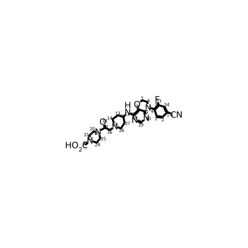 N#Cc1ccc(N2CCOc3c(NC4CCN(CC(=O)N5CCN(C(=O)O)CC5)CC4)ncnc32)c(F)c1